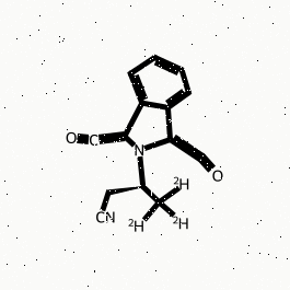 [2H]C([2H])([2H])[C@@H](CC#N)n1c(=C=O)c2ccccc2c1=C=O